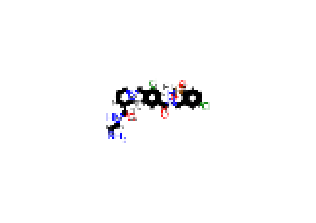 CCS(=O)(=O)c1ccc(Cl)cc1CNC(=O)c1cc(Cl)c(CN2CCC[C@H](C(=O)NCCN)C2)c(C(F)(F)F)c1